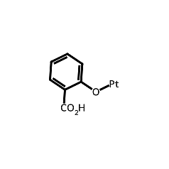 O=C(O)c1ccccc1[O][Pt]